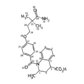 CC1CC(C(=O)O)c2ccccc2N1C(=O)c1ccc(OCCC(C)(C)C(N)=O)cc1